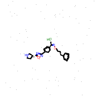 CC(=NOCCCCc1ccccc1)c1ccc(-c2noc([C@@H]3CCNC3)n2)cc1.Cl